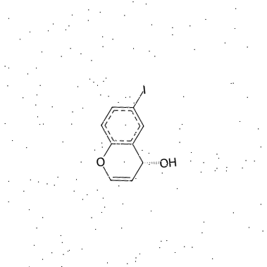 O[C@@H]1C=COc2ccc(I)cc21